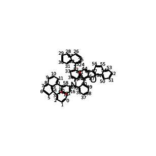 c1ccc(-c2cccc3cccc(-c4cccc(N(c5ccc(-c6cccc7ccccc67)cc5)c5ccccc5-c5cccc6c5oc5c7ccccc7ccc65)c4)c23)cc1